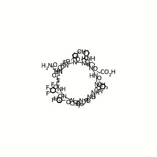 CCCC[C@H]1C(=O)N2CCC[C@@H]2C(=O)NC(=O)N[C@@H](C(C)C)C(=O)N(C)[C@@H](Cc2ccccc2)C(=O)N[C@@H](CCC(=O)O)C(=O)N2CCCC[C@@H]2C(=O)N[C@@H](Cc2c[nH]c3ccccc23)C(=O)N[C@@H](Cc2ccc(O)cc2)C(=O)N[C@@H](CC(C)C)C(=O)N[C@H](C(=O)NCC(N)=O)CSCC(=O)N[C@@H](Cc2cc(F)c(F)c(F)c2)C(=O)N(C)[C@@H](Cc2ccc(F)cc2)C(=O)N1C